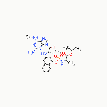 CC(C)OC(=O)[C@@H](C)N[P@](=O)(OC[C@@H]1CC(=N)[C@H](n2cnc3c(NC4CC4)nc(N)nc32)O1)Oc1cccc2ccccc12